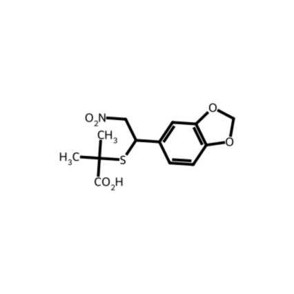 CC(C)(SC(C[N+](=O)[O-])c1ccc2c(c1)OCO2)C(=O)O